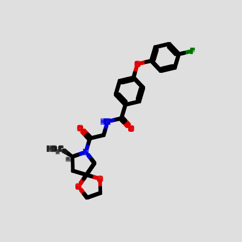 O=C(NCC(=O)N1CC2(C[C@H]1C(=O)O)OCCO2)c1ccc(Oc2ccc(F)cc2)cc1